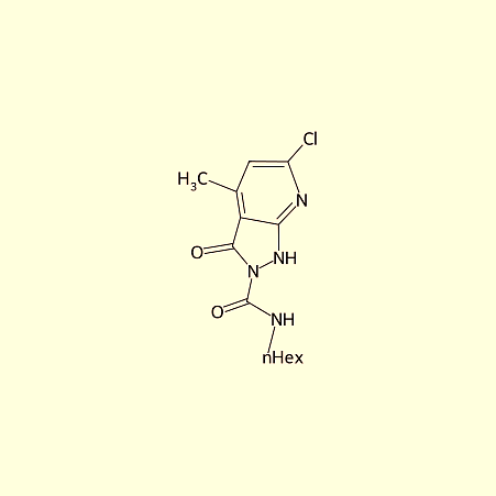 CCCCCCNC(=O)n1[nH]c2nc(Cl)cc(C)c2c1=O